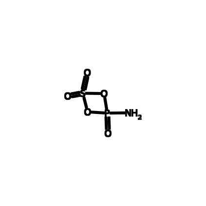 NP1(=O)OS(=O)(=O)O1